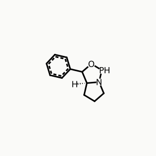 c1ccc(C2OPN3CCC[C@@H]23)cc1